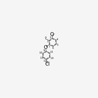 Cc1c([O])cccc1Oc1ccc(Cl)cc1